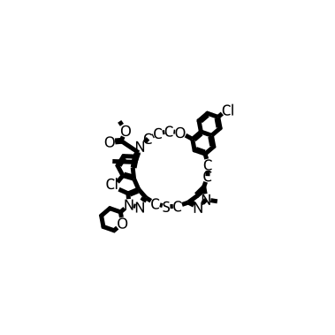 COC(=O)c1c(C)c2c3c(Cl)ccc2n1CCCOc1cc(cc2cc(Cl)ccc12)CCc1cc(nn1C)CSCc1nn(C2CCCCO2)c(C)c1-3